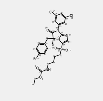 CCOC(=O)NCCCCS(=O)(=O)c1cnc2n1[C@](C)(Cc1ccc(Br)cc1)C(=O)N2c1cc(Cl)cc(Cl)c1